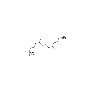 CC(C)CCCC(C)CCCC(C)CCC[C@]1(C)CO1